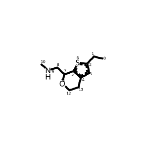 CCc1cc2c(s1)C(CNC)OCC2